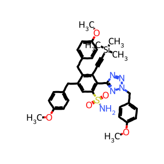 COc1ccc(Cc2cc(S(N)(=O)=O)c(-c3nnn(Cc4ccc(OC)cc4)n3)c(C#C[Si](C)(C)C)c2Cc2ccc(OC)cc2)cc1